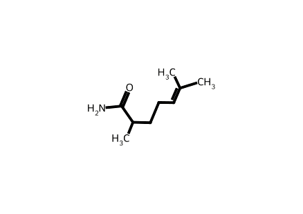 CC(C)=CCCC(C)C(N)=O